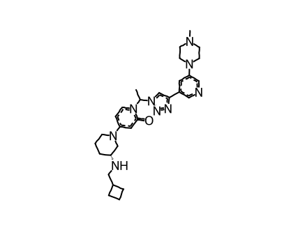 CC(n1cc(-c2cncc(N3CCN(C)CC3)c2)nn1)n1ccc(N2CCC[C@@H](NCC3CCC3)C2)cc1=O